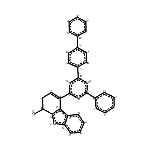 ClC1CC=C(c2nc(-c3ccccc3)nc(-c3ccc(-c4ccccc4)cc3)n2)c2c1oc1ccccc21